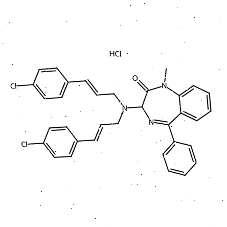 CN1C(=O)C(N(C/C=C/c2ccc(Cl)cc2)C/C=C/c2ccc(Cl)cc2)N=C(c2ccccc2)c2ccccc21.Cl